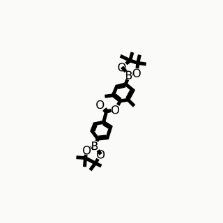 Cc1cc(B2OC(C)(C)C(C)(C)O2)cc(C)c1OC(=O)c1ccc(B2OC(C)(C)C(C)(C)O2)cc1